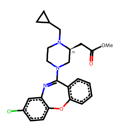 COC(=O)C[C@H]1CN(C2=Nc3cc(Cl)ccc3Oc3ccccc32)CCN1CC1CC1